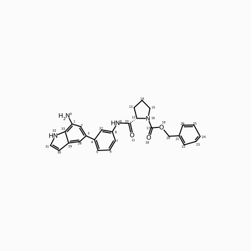 Nc1cc(-c2cccc(NC(=O)[C@@H]3CCCN3C(=O)OCc3ccccc3)c2)cc2cc[nH]c12